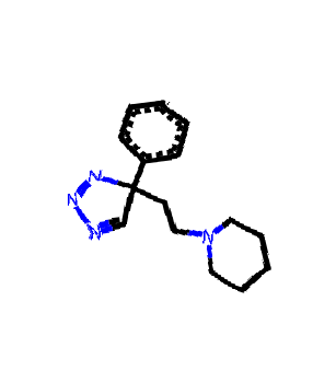 [c]1ccc(C2(CCN3CCCCC3)C=NN=N2)cc1